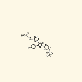 CC1(CNS(C)(=O)=O)COC(c2nc(-c3ccc(F)cc3)c(-c3ccnc(NCCC(=O)O)n3)[nH]2)OC1